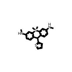 CNc1ccc2c(c1)S(C)(C)c1cc(NC)ccc1C2c1cccs1